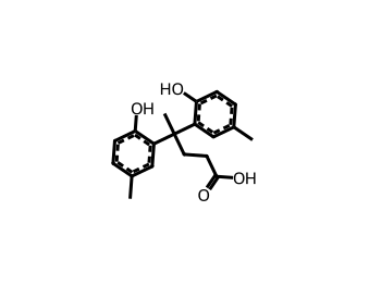 Cc1ccc(O)c(C(C)(CCC(=O)O)c2cc(C)ccc2O)c1